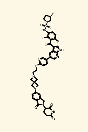 O=C1CCC(N2Cc3cc(N4CC5(CN(CCOc6ccc(-c7cnc8[nH]cc(C(=O)c9c(F)ccc(NS(=O)(=O)N%10CC[C@@H](F)C%10)c9F)c8c7)cn6)C5)C4)ccc3C2=O)C(=O)N1